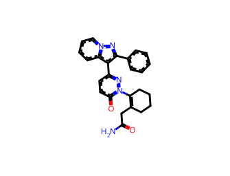 NC(=O)CC1=C(n2nc(-c3c(-c4ccccc4)nn4ccccc34)ccc2=O)CCCC1